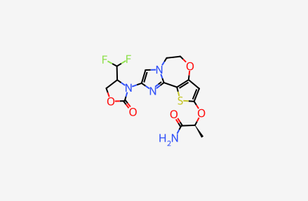 C[C@H](Oc1cc2c(s1)-c1nc(N3C(=O)OCC3C(F)F)cn1CCO2)C(N)=O